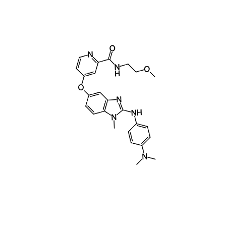 COCCNC(=O)c1cc(Oc2ccc3c(c2)nc(Nc2ccc(N(C)C)cc2)n3C)ccn1